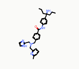 CCCC(N)(CCC)c1ccc(NC(=O)c2ccc(CN(Cc3cccc(C)n3)Cc3ncc[nH]3)cc2)cc1